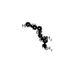 Cn1cc(-c2cnc(N)c(C(=O)N[C@@H]3CCN(C(=O)Oc4cccc(-c5ccc(CN[C@H]6CCCNC6)cc5)c4)C3)c2)cn1